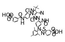 CC(=O)Nc1cc(N(c2nc3ccc(S(=O)(=O)O)cc3s2)c2c(C)cc(C)cc2C)ccc1/N=N/c1c(C#N)c(C(C)(C)C)nn1-c1c(Cl)cc(NC(=O)c2cccc(S(=O)(=O)O)c2)cc1Cl